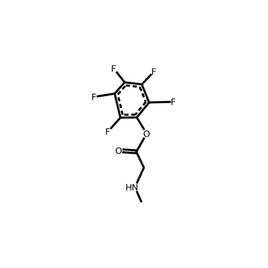 CNCC(=O)Oc1c(F)c(F)c(F)c(F)c1F